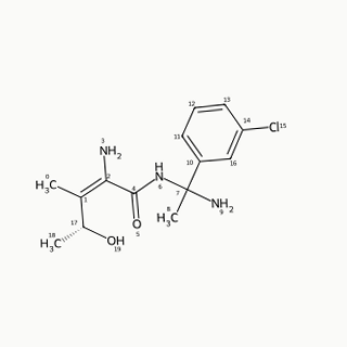 C/C(=C(\N)C(=O)NC(C)(N)c1cccc(Cl)c1)[C@@H](C)O